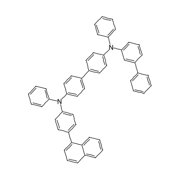 c1ccc(-c2cccc(N(c3ccccc3)c3ccc(-c4ccc(N(c5ccccc5)c5ccc(-c6cccc7ccccc67)cc5)cc4)cc3)c2)cc1